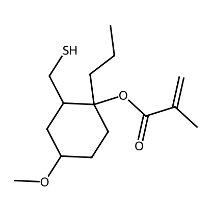 C=C(C)C(=O)OC1(CCC)CCC(OC)CC1CS